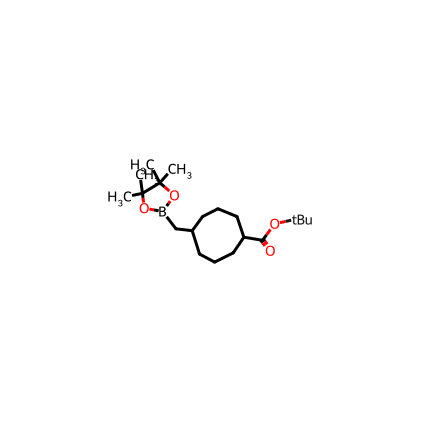 CC(C)(C)OC(=O)C1CCCC(CB2OC(C)(C)C(C)(C)O2)CCC1